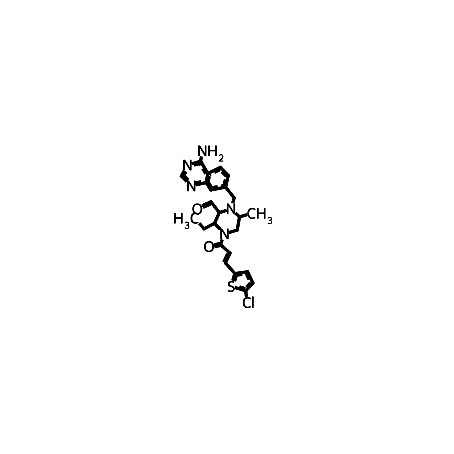 CCC1C(C=O)N(Cc2ccc3c(N)ncnc3c2)C(C)CN1C(=O)C=Cc1ccc(Cl)s1